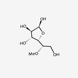 CO[C@@H](CO)[C@H]1O[C@H](O)[C@H](O)[C@H]1O